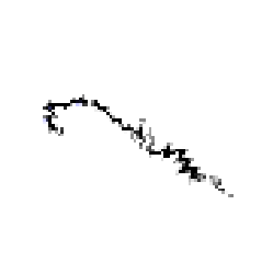 CC/C=C\C/C=C\C/C=C\CCCCCCCCOC(=O)OCCCCCCCCCCCCCCCCCCCC